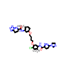 O=C(Nc1cc(OCCCCOc2ccc(C(=O)O)c(NC(=O)c3ccc4nnnn4n3)c2)c(Cl)cc1C(=O)O)c1ccc(-n2ccnc2)nn1